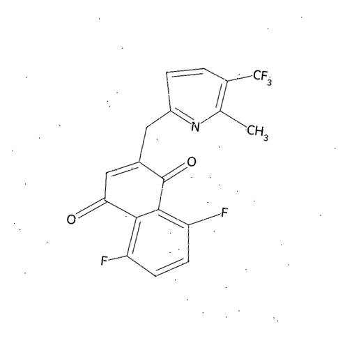 Cc1nc(CC2=CC(=O)c3c(F)ccc(F)c3C2=O)ccc1C(F)(F)F